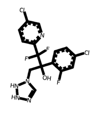 OC(CN1C=NNN1)(c1ccc(Cl)cc1F)C(F)(F)c1ccc(Cl)cn1